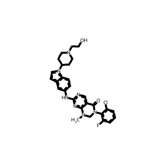 CN1CN(c2c(F)cccc2Cl)C(=O)c2cnc(Nc3ccc4c(ccn4C4CCN(CCO)CC4)c3)nc21